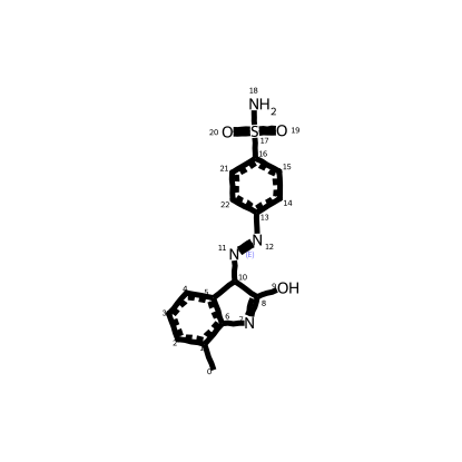 Cc1cccc2c1N=C(O)C2/N=N/c1ccc(S(N)(=O)=O)cc1